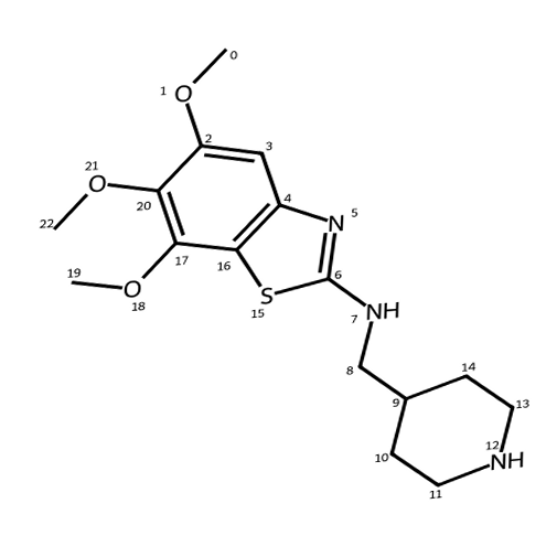 COc1cc2nc(NCC3CCNCC3)sc2c(OC)c1OC